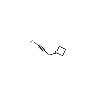 CC(C)C#CCN1CCC1